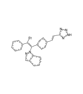 CCC(=C(c1ccc(/C=C/c2nn[nH]n2)cc1)n1ncc2ccccc21)c1ccccc1